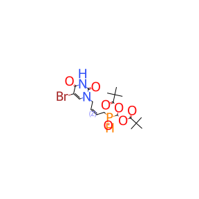 CC(C)(C)C(=O)OC(OC(=O)C(C)(C)C)[PH](=O)C/C=C\Cn1cc(Br)c(=O)[nH]c1=O